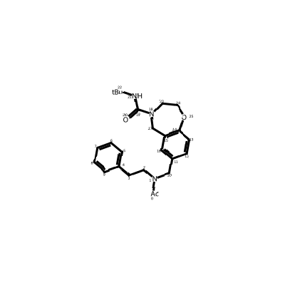 CC(=O)N(CCc1ccccc1)Cc1ccc2c(c1)CN(C(=O)NC(C)(C)C)CCO2